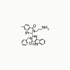 Cc1ccc(C(=O)N(CCCN)C(c2nc3c([nH]c4ccccc43)c(=O)n2Cc2ccccc2)C(C)C)cc1